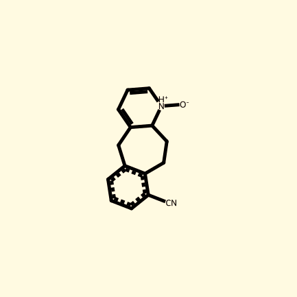 N#Cc1cccc2c1CCC1C(=CC=C[NH+]1[O-])C2